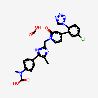 Cc1nc(Cn2ccc(-c3cc(Cl)ccc3-n3cnnn3)cc2=O)[nH]c1-c1ccc(N(C)C(=O)O)cc1.O=CO